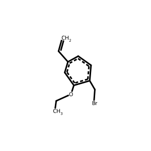 C=Cc1ccc(CBr)c(OCC)c1